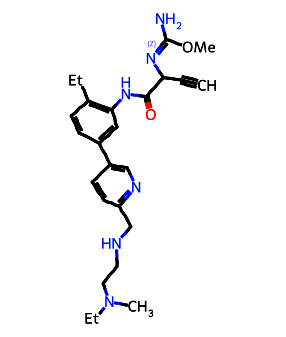 C#CC(/N=C(/N)OC)C(=O)Nc1cc(-c2ccc(CNCCN(C)CC)nc2)ccc1CC